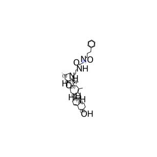 CC1=C2C[C@H]3[C@@H](CC=C4C[C@@H](O)CC[C@@]43C)[C@@H]2CC[C@@]2(C1)O[C@@H]1C[C@H](C)CN(CCNC(=O)/C=N/C(=O)CCc3ccccc3)[C@H]1[C@H]2C